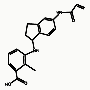 C=CC(=O)Nc1ccc2c(c1)CCC2Nc1cccc(C(=O)O)c1C